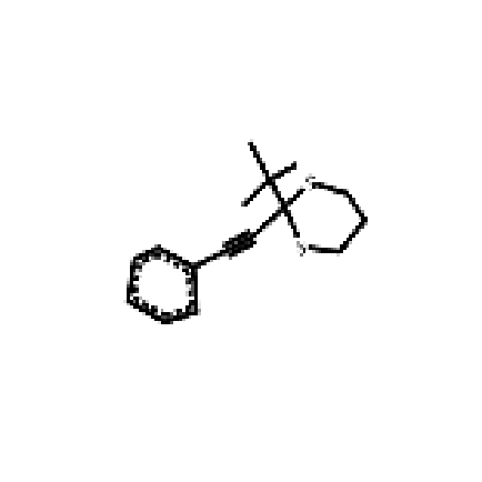 CC(C)(C)C1(C#Cc2ccccc2)SCCCS1